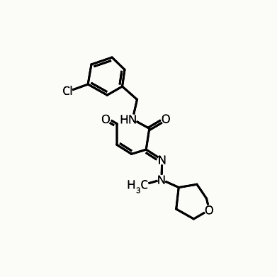 CN(/N=C(\C=C/C=O)C(=O)NCc1cccc(Cl)c1)C1CCOCC1